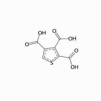 O=C(O)c1csc(C(=O)O)c1C(=O)O